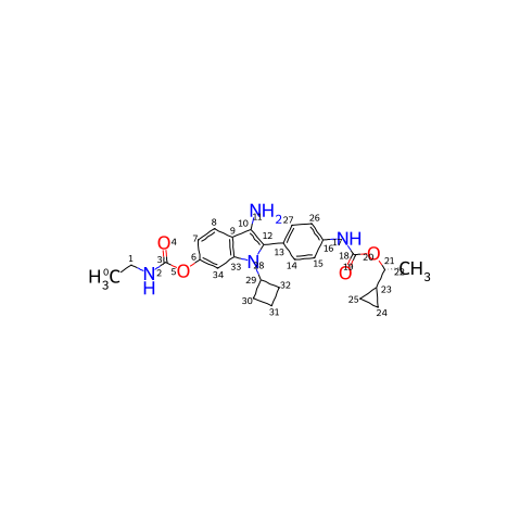 CCNC(=O)Oc1ccc2c(N)c(-c3ccc(NC(=O)O[C@H](C)C4CC4)cc3)n(C3CCC3)c2c1